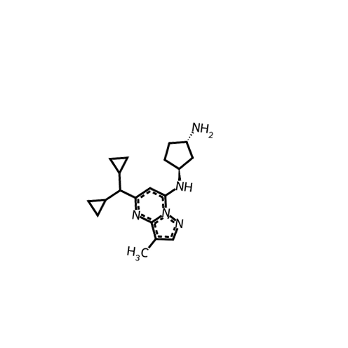 Cc1cnn2c(N[C@H]3CC[C@H](N)C3)cc(C(C3CC3)C3CC3)nc12